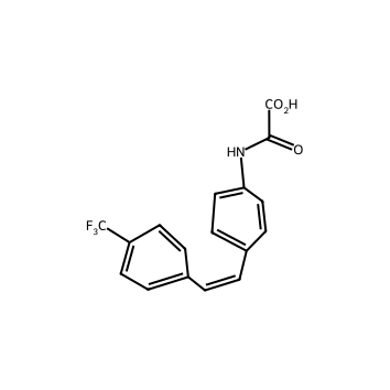 O=C(O)C(=O)Nc1ccc(/C=C\c2ccc(C(F)(F)F)cc2)cc1